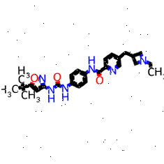 CCN1CC(Cc2ccc(C(=O)Nc3ccc(NC(=O)Nc4cc(C(C)(C)C)on4)cc3)nc2)C1